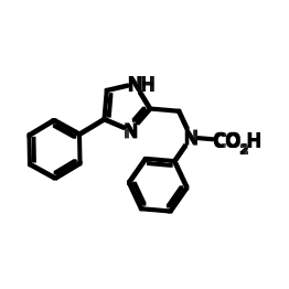 O=C(O)N(Cc1nc(-c2ccccc2)c[nH]1)c1ccccc1